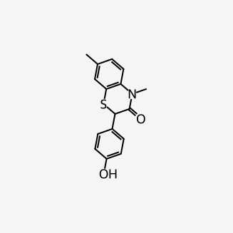 Cc1ccc2c(c1)SC(c1ccc(O)cc1)C(=O)N2C